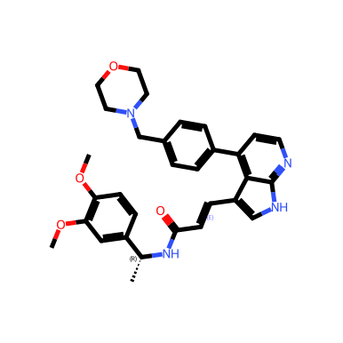 COc1ccc([C@@H](C)NC(=O)/C=C/c2c[nH]c3nccc(-c4ccc(CN5CCOCC5)cc4)c23)cc1OC